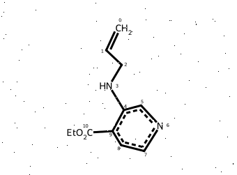 C=CCNc1cnccc1C(=O)OCC